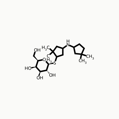 CC1(C)CCC(NC2CC(S[C@@H]3O[C@H](CO)[C@H](O)[C@H](O)[C@H]3O)C(C)(C)C2)C1